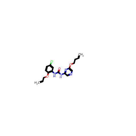 C=CCCOc1cncc(NC(=O)Nc2cc(Cl)ccc2OCC=C)n1